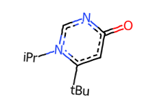 CC(C)n1cnc(=O)cc1C(C)(C)C